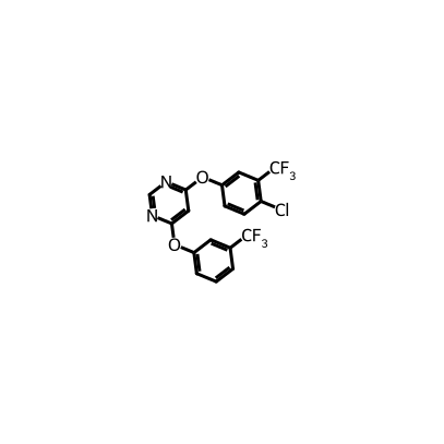 FC(F)(F)c1cccc(Oc2cc(Oc3ccc(Cl)c(C(F)(F)F)c3)ncn2)c1